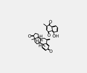 C=C1C[C@@H]2[C@H](CC[C@]3(C)C(=O)CC[C@@H]23)[C@@]2(C)C=CC(=O)C=C12.CC1=CC(=O)c2c(O)cccc2C1=O